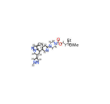 CC[C@H](CCOC(=O)N1CCN(c2ccc(-c3cc(-c4cnn(C)c4)cn4ncc(C#N)c34)cn2)CC1)OC